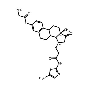 Cc1cnc(NC(=O)CC[C@@H]2CC(=O)[C@@]3(C)CCC4c5ccc(OC(=O)CN)cc5CCC4C23)s1